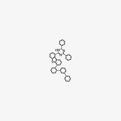 c1ccc(C2=NC(c3ccccc3)NC(c3cccc4sc5c(-c6ccccc6-c6cccc(-c7ccccc7)c6)cccc5c34)=N2)cc1